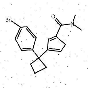 CN(C)C(=O)C1=CC(C2(c3ccc(Br)cc3)CCC2)=CC1